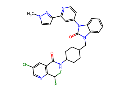 Cn1ccc(-c2cc(-n3c(=O)n(CC4CCC(NC(=O)c5cc(Cl)cnc5C(F)F)CC4)c4ccccc43)ccn2)n1